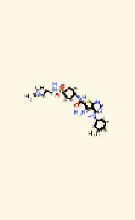 Cc1cc(Nc2ncnc3sc(C(=O)Nc4ccc(S(=O)(=O)NCCCN(C)C)cc4)c(N)c23)ccc1F